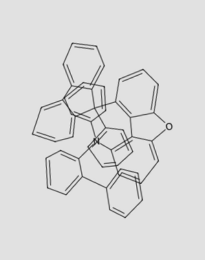 c1ccc(-c2ccccc2N(c2ccccc2)c2cccc3oc4cccc(C5(c6ccccc6)c6ccccc6-c6ccccc65)c4c23)cc1